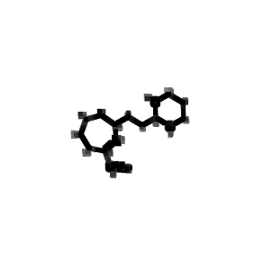 COC1=NC(CCC2OCCCO2)CCCC1